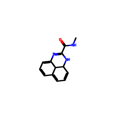 CNC(=O)C1=NC2=CC=CC3=CC=CC(N1)C32